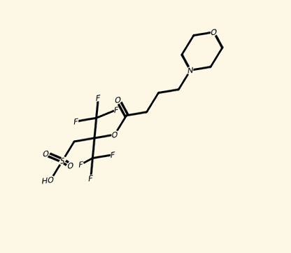 O=C(CCCN1CCOCC1)OC(CS(=O)(=O)O)(C(F)(F)F)C(F)(F)F